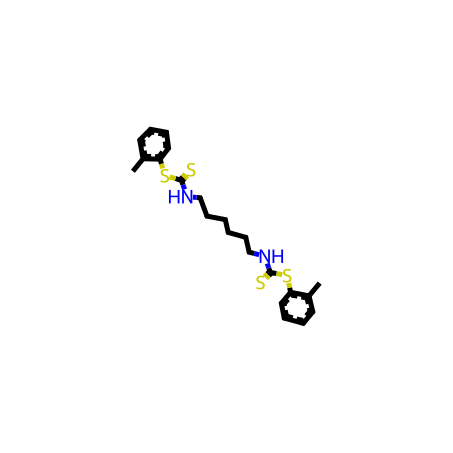 Cc1ccccc1SC(=S)NCCCCCCNC(=S)Sc1ccccc1C